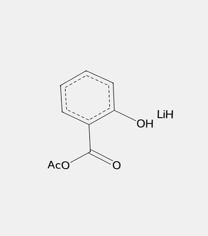 CC(=O)OC(=O)c1ccccc1O.[LiH]